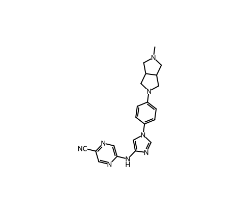 CN1CC2CN(c3ccc(-n4cnc(Nc5cnc(C#N)cn5)c4)cc3)CC2C1